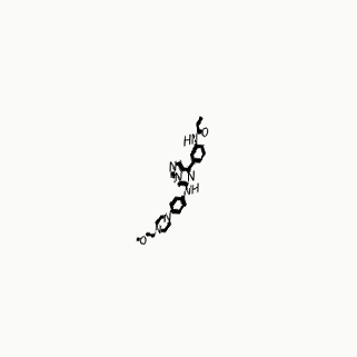 C=CC(=O)Nc1cccc(-c2nc(Nc3ccc(N4CCN(CCOC)CC4)cc3)cn3cncc23)c1